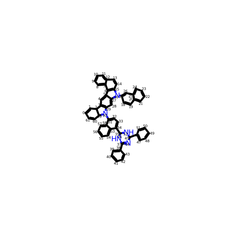 C1=CC2c3cc4c5c6ccccc6ccc5n(-c5ccc6ccccc6c5)c4cc3N(c3ccc(C4NC(c5ccccc5)=NC(c5ccccc5)N4)c4ccccc34)C2C=C1